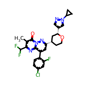 Cc1c(C(F)F)nc2c(-c3ccc(Cl)cc3F)cc([C@H]3CCO[C@@H](c4cnn(C5CC5)c4)C3)nn2c1=O